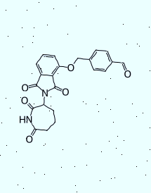 O=Cc1ccc(COc2cccc3c2C(=O)N(C2CCCC(=O)NC2=O)C3=O)cc1